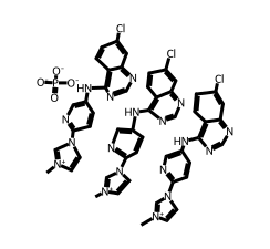 C[n+]1ccn(-c2ccc(Nc3ncnc4cc(Cl)ccc34)cn2)c1.C[n+]1ccn(-c2ccc(Nc3ncnc4cc(Cl)ccc34)cn2)c1.C[n+]1ccn(-c2ccc(Nc3ncnc4cc(Cl)ccc34)cn2)c1.O=P([O-])([O-])[O-]